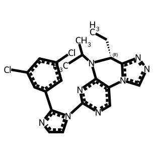 CC[C@@H]1c2nncn2-c2cnc(-n3ccnc3-c3cc(Cl)cc(Cl)c3)nc2N1C(C)C